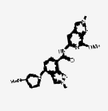 CN[C@@H]1CCN(c2ccc(C(=O)Nc3cc4cn(C)nc4c(OC)n3)c3nn(C)cc23)C1